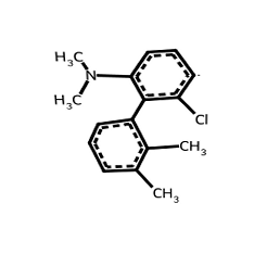 Cc1cccc(-c2c(Cl)[c]ccc2N(C)C)c1C